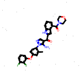 Cc1cc(Oc2cccc(F)c2F)ccc1-n1ncc(C(=O)c2cc3c(C(=O)N4CCOCC4)cccc3[nH]2)c1N